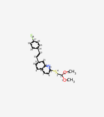 COC(CSc1ccc2ccc(C=Cc3ccc(F)cc3)cc2n1)OC